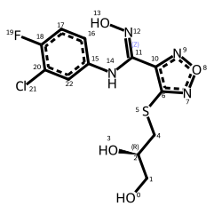 OC[C@@H](O)CSc1nonc1/C(=N/O)Nc1ccc(F)c(Cl)c1